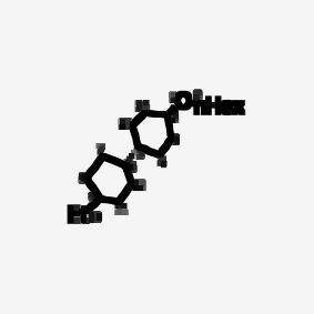 CCCCCCO[C@H]1CC[C@H](C2CCC(CC)CC2)CC1